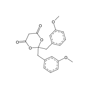 COc1cccc(CC2(Cc3cccc(OC)c3)OC(=O)CC(=O)O2)c1